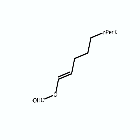 CCCCCCCC/C=C/O[C]=O